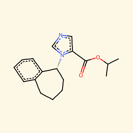 CC(C)OC(=O)c1cncn1[C@@H]1CCCCc2ccccc21